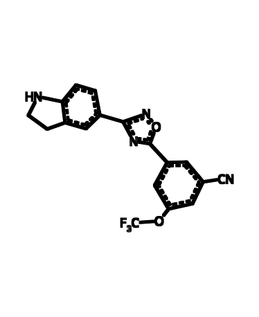 N#Cc1cc(OC(F)(F)F)cc(-c2nc(-c3ccc4c(c3)CCN4)no2)c1